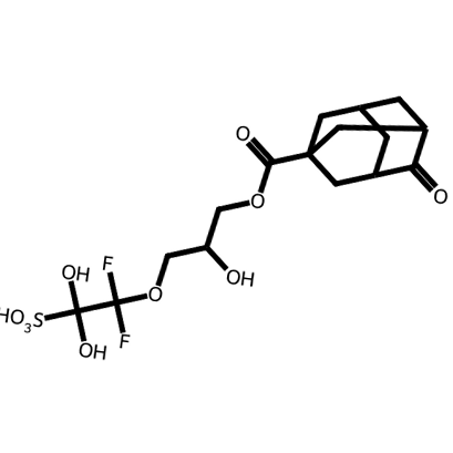 O=C1C2CC3CC1CC(C(=O)OCC(O)COC(F)(F)C(O)(O)S(=O)(=O)O)(C3)C2